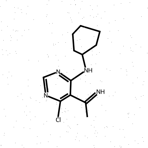 CC(=N)c1c(Cl)ncnc1NC1CCCCC1